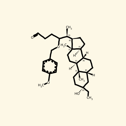 CC[C@@]1(O)CC[C@@]2(C)[C@H](CC[C@@H]3[C@@H]2CC[C@]2(C)[C@@H]([C@H](C)C(CCC=O)OCc4ccc(OC)cc4)CC[C@@H]32)C1